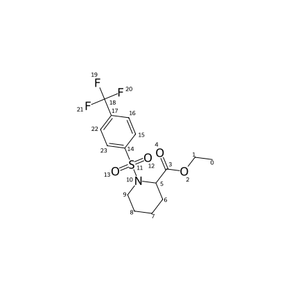 CCOC(=O)C1CCCCN1S(=O)(=O)c1ccc(C(F)(F)F)cc1